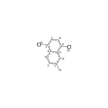 Cc1ccc2c(Cl)ccc(Cl)c2c1